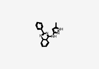 Cc1cc(NC2=NC(c3ccccc3)=NC3C=CC=CC23)n[nH]1